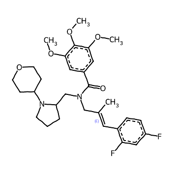 COc1cc(C(=O)N(C/C(C)=C/c2ccc(F)cc2F)CC2CCCN2C2CCOCC2)cc(OC)c1OC